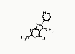 Cc1c(-c2cccnc2)sc2nc(N)[nH]c(=O)c12